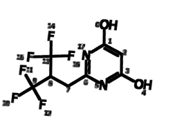 Oc1cc(O)nc(CC(C(F)(F)F)C(F)(F)F)n1